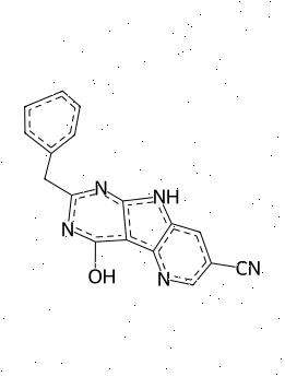 N#Cc1cnc2c(c1)[nH]c1nc(Cc3ccccc3)nc(O)c12